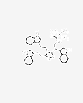 CC(C)(N)C(=O)NCC(c1c[nH]c2ccccc12)c1nnc(CCc2c[nH]c3ccccc23)n1CCc1c[nH]c2ccccc12